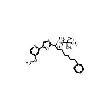 COc1ccnc(-c2cnc(C(CCCCCCc3ccccc3)O[Si](C)(C)C(C)(C)C)o2)c1